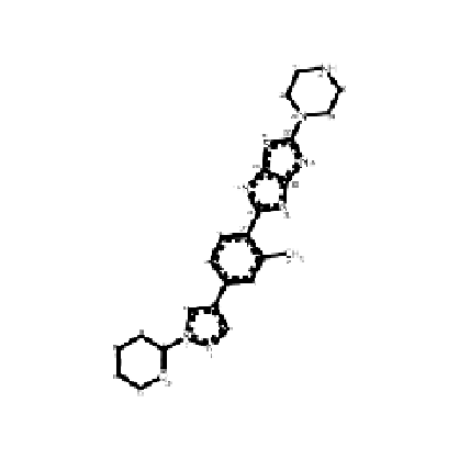 Cc1cc(-c2cnn(C3CCCCO3)c2)ccc1-c1nc2sc(N3CCNCC3)nc2s1